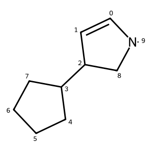 C1=CC(C2CCCC2)C[N]1